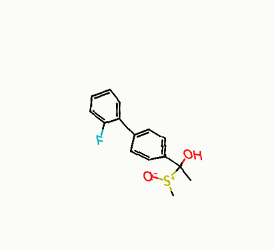 C[S+]([O-])C(C)(O)c1ccc(-c2ccccc2F)cc1